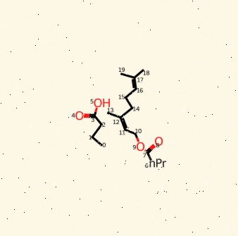 CCCC(=O)O.CCCC(=O)OC/C=C(/C)CCC=C(C)C